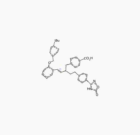 CC(C)(C)c1ccc(COc2ccccc2/C=C/C(CCc2ccc(-c3noc(=O)[nH]3)cc2)Cc2ccc(C(=O)O)cc2)cc1